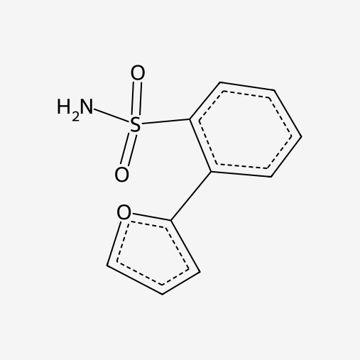 NS(=O)(=O)c1ccccc1-c1ccco1